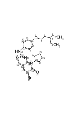 CCN(CC)CCOc1ccc(Nc2ncc3cc(Br)c(=O)n(C4CCCC4)c3n2)nc1